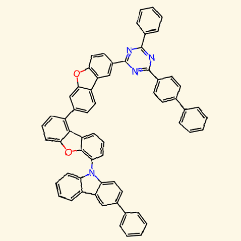 c1ccc(-c2ccc(-c3nc(-c4ccccc4)nc(-c4ccc5oc6cc(-c7cccc8oc9c(-n%10c%11ccccc%11c%11cc(-c%12ccccc%12)ccc%11%10)cccc9c78)ccc6c5c4)n3)cc2)cc1